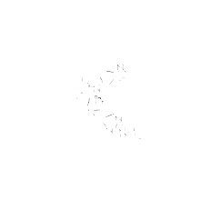 Nc1ncc(-c2ccc(C3(C(=O)Nc4ccc5ncsc5c4)CCC3)cn2)cn1